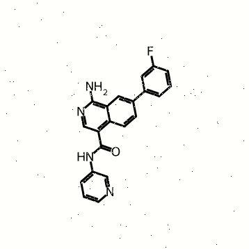 Nc1ncc(C(=O)Nc2cccnc2)c2ccc(-c3cccc(F)c3)cc12